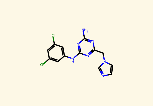 Nc1nc(Cn2ccnc2)nc(Nc2cc(Cl)cc(Cl)c2)n1